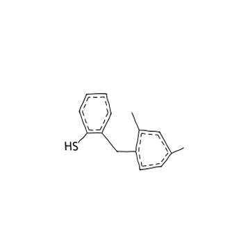 Cc1ccc(Cc2ccccc2S)c(C)c1